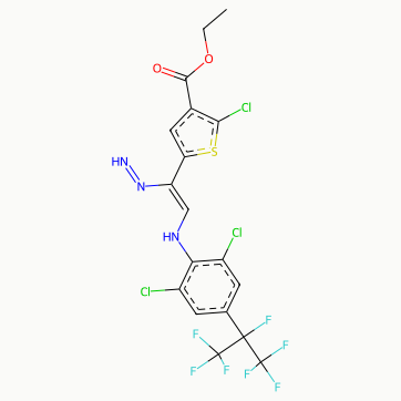 CCOC(=O)c1cc(/C(=C/Nc2c(Cl)cc(C(F)(C(F)(F)F)C(F)(F)F)cc2Cl)N=N)sc1Cl